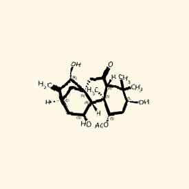 C=C1[C@@H]2C[C@H](O)[C@@H]3[C@@](CC(=O)[C@@H]4C(C)(C)[C@@H](O)C[C@H](OC(C)=O)[C@]43C)(C2)[C@@H]1O